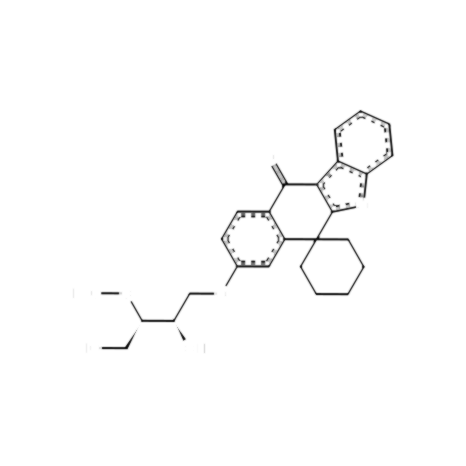 CO[C@H](CO)[C@H](O)COc1ccc2c(c1)C1(CCCCC1)c1oc3ccccc3c1C2=O